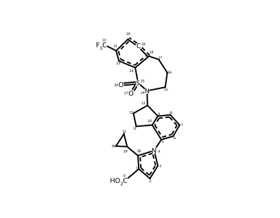 O=C(O)c1ccn(-c2cccc3c2CCC3N2CCCc3ccc(C(F)(F)F)cc3S2(=O)=O)c1C1CC1